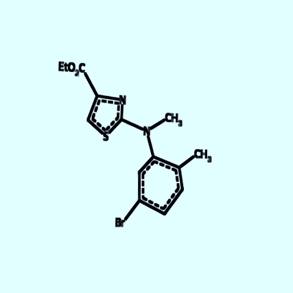 CCOC(=O)c1csc(N(C)c2cc(Br)ccc2C)n1